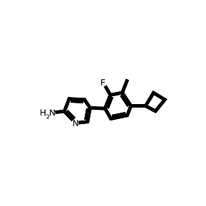 Cc1c(C2CCC2)ccc(-c2ccc(N)nc2)c1F